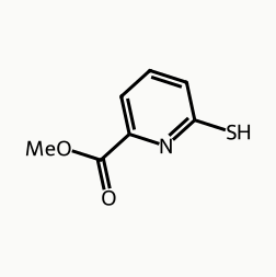 COC(=O)c1cccc(S)n1